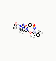 Cc1cccc(C)c1-c1cc2nc(n1)NS(=O)(=O)c1cccc(c1)C(=O)N(Cc1cncc(N(CC3CCCO3)C(C)C)n1)C(CC(C)(C)C)CO2